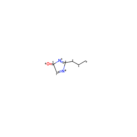 CCCC1=NC(=O)C=N1